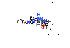 C=N/C(Nc1ccccc1P(C)(C)=O)=C(Cl)\C=N/CNc1cc(CC)c(N2CCCC(N3CCC(OCCC)CC3)CC2)cc1OC